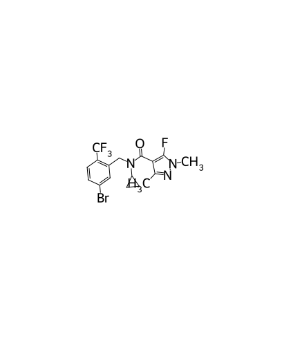 Cc1nn(C)c(F)c1C(=O)N(Cc1cc(Br)ccc1C(F)(F)F)C1CC1